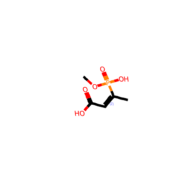 COP(=O)(O)/C(C)=C\C(=O)O